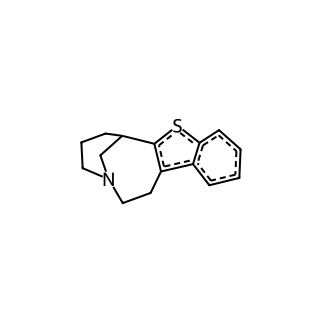 c1ccc2c3c(sc2c1)C1CCCN(CC3)C1